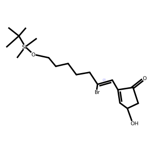 CC(C)(C)[Si](C)(C)OCCCCC/C(Br)=C/C1=CC(O)CC1=O